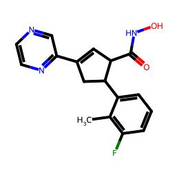 Cc1c(F)cccc1C1CC(c2cnccn2)=CC1C(=O)NO